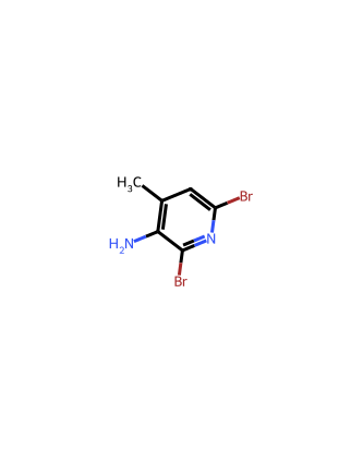 Cc1cc(Br)nc(Br)c1N